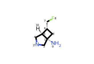 N[C@]12C[N]C[C@H]1[C@H](CF)C2